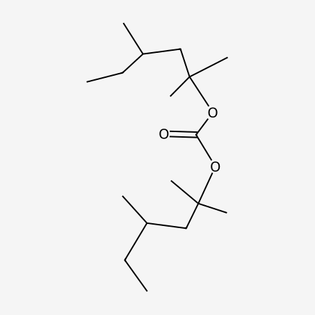 CCC(C)CC(C)(C)OC(=O)OC(C)(C)CC(C)CC